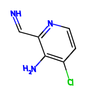 N=Cc1nccc(Cl)c1N